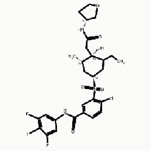 CCC1C[C@@H](S(=O)(=O)c2cc(C(=O)Nc3cc(F)c(F)c(F)c3)ccc2Cl)C[C@H](C)[C@@]1(O)CC(=O)N[C@@H]1CCOC1